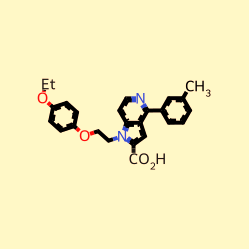 CCOc1ccc(OCCn2c(C(=O)O)cc3c(-c4cccc(C)c4)nccc32)cc1